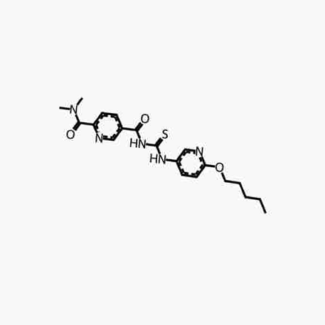 CCCCCOc1ccc(NC(=S)NC(=O)c2ccc(C(=O)N(C)C)nc2)cn1